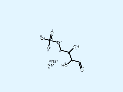 O=CC(O)C(O)COP(=O)([O-])[O-].[Na+].[Na+]